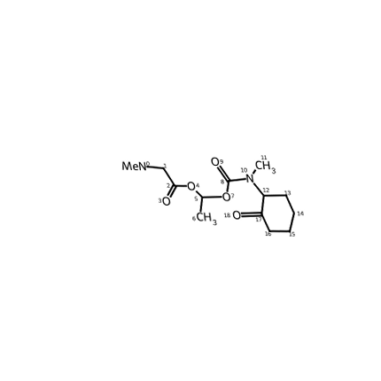 CNCC(=O)OC(C)OC(=O)N(C)C1CCCCC1=O